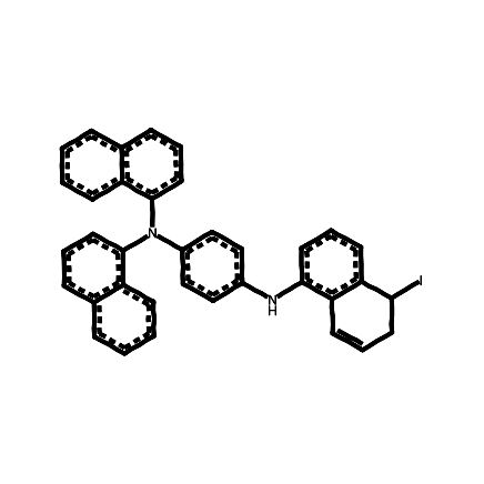 IC1CC=Cc2c(Nc3ccc(N(c4cccc5ccccc45)c4cccc5ccccc45)cc3)cccc21